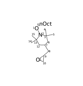 CCCCCCCCON1C(C)(C)CC(CC2CO2)CC1(C)C